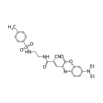 CCN(CC)c1ccc2nc(/C=C(\C#N)C(=O)NCCNS(=O)(=O)c3ccc(C)cc3)c(=O)oc2c1